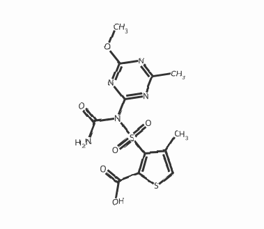 COc1nc(C)nc(N(C(N)=O)S(=O)(=O)c2c(C)csc2C(=O)O)n1